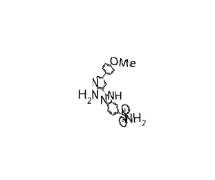 COc1ccc(-c2cnc(N)c(-c3nc4ccc(S(N)(=O)=O)cc4[nH]3)c2)cc1